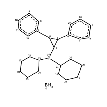 B.c1ccc(C2C(c3ccccc3)C2P(C2CCCCC2)C2CCCCC2)cc1